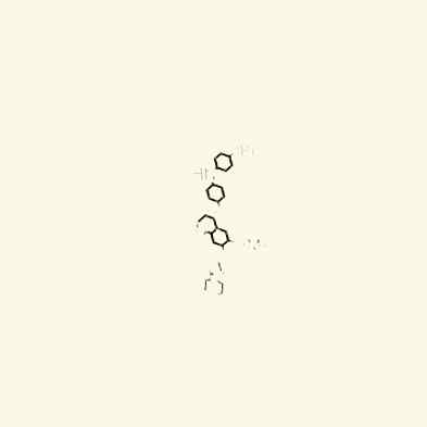 COc1cc2c(Oc3ccc(Nc4ccc(C(C)(C)C)cc4)cc3)ccnc2cc1OCC[N+]1([O-])CCOCC1